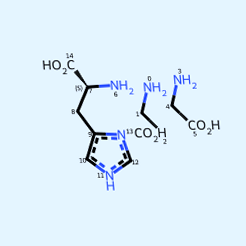 NCC(=O)O.NCC(=O)O.N[C@@H](Cc1c[nH]cn1)C(=O)O